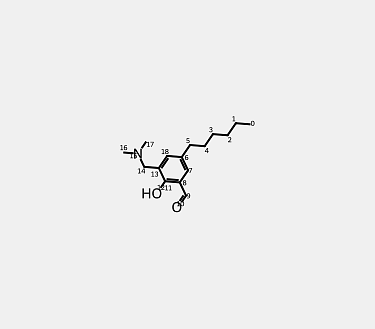 CCCCCCc1cc(C=O)c(O)c(CN(C)C)c1